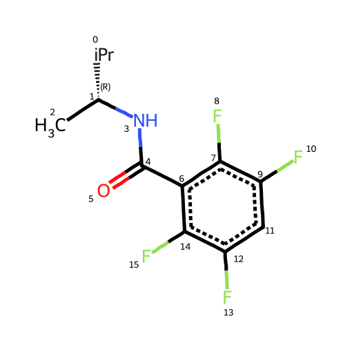 CC(C)[C@@H](C)NC(=O)c1c(F)c(F)cc(F)c1F